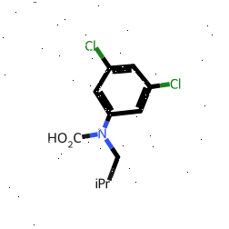 CC(C)CN(C(=O)O)c1cc(Cl)cc(Cl)c1